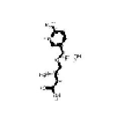 Cc1ccc(COC[C@H](N)CC(=O)O)cn1.Cl.Cl